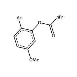 CCCC(=O)Oc1cc(OC)ccc1C(C)=O